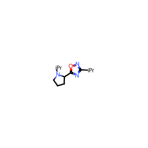 CC(C)c1noc(C2CCCN2C(C)C)n1